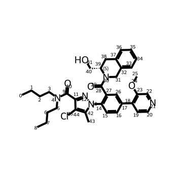 CCCCN(CCCC)C(=O)c1nn(-c2ccc(-c3ccncc3OC)cc2C(=O)N2Cc3ccccc3C[C@H]2CO)c(C)c1Cl